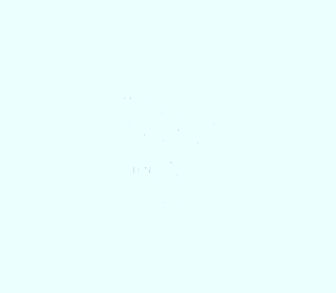 COc1ccc(-c2cc3c4c(ccc3c3ccccc23)CCCC4N)cc1